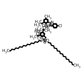 CCCCCCCCCCCCCCCCCCOP(=O)(Cc1cc(C(C)(C)C)c(O)c(C(C)(C)C)c1)OCCCCCCCCCCCCCCCCCC.Cc1cc(-n2nc3ccc(Cl)cc3n2)c(O)c(C(C)(C)C)c1